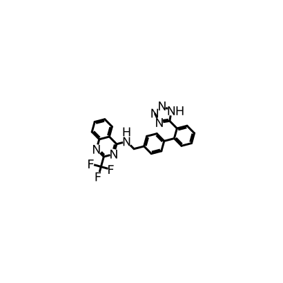 FC(F)(F)c1nc(NCc2ccc(-c3ccccc3-c3nnn[nH]3)cc2)c2ccccc2n1